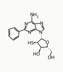 Nc1nc(-c2ccccc2)nc2c1ncn2[C@@H]1O[C@H](CO)[C@@H](O)[C@H]1S